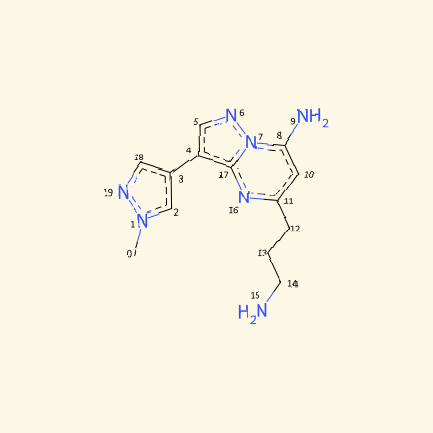 Cn1cc(-c2cnn3c(N)cc(CCCN)nc23)cn1